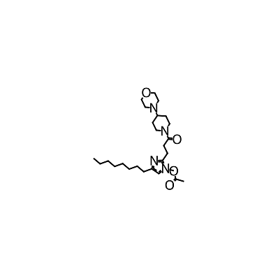 CCCCCCCCc1cn(OC(C)=O)c(CCC(=O)N2CCC(N3CCOCC3)CC2)n1